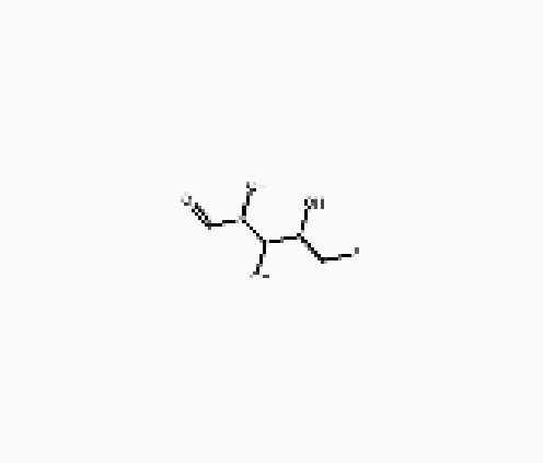 O=CC(O)C(O)C(O)CF